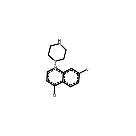 C1CNCCN1.Clc1ccc2c(Cl)ccnc2c1